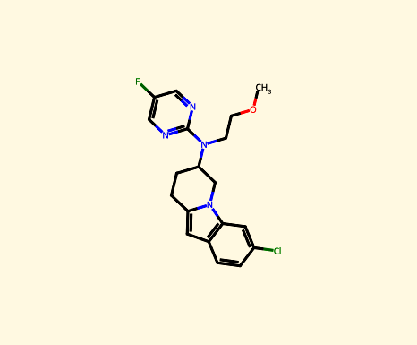 COCCN(c1ncc(F)cn1)C1CCc2cc3ccc(Cl)cc3n2C1